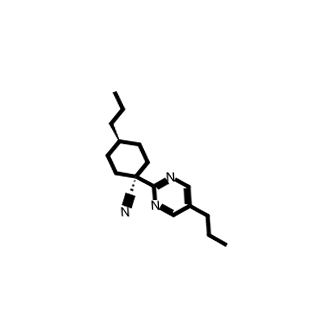 CCCc1cnc([C@]2(C#N)CC[C@H](CCC)CC2)nc1